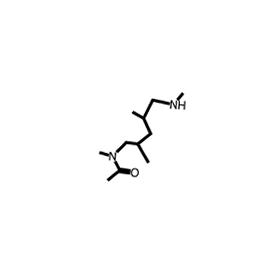 CNCC(C)CC(C)CN(C)C(C)=O